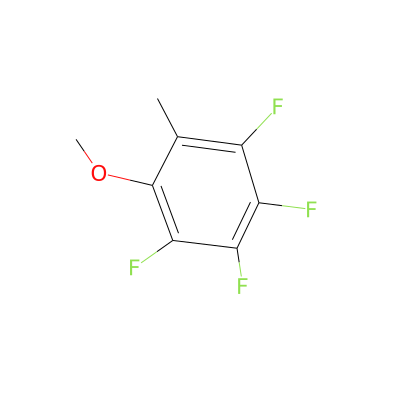 COc1c(C)c(F)c(F)c(F)c1F